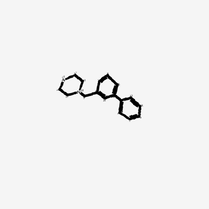 c1ccc(-c2cccc(CN3CC[N]CC3)c2)cc1